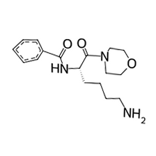 NCCCC[C@H](NC(=O)c1ccccc1)C(=O)N1CCOCC1